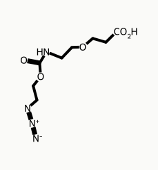 [N-]=[N+]=NCCOC(=O)NCCOCCC(=O)O